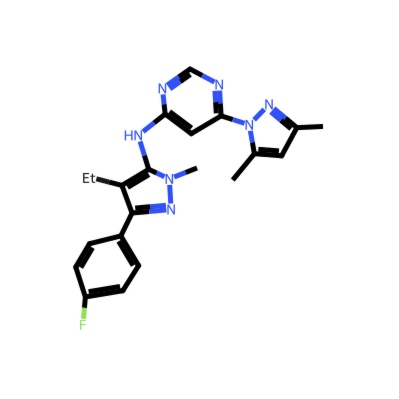 CCc1c(-c2ccc(F)cc2)nn(C)c1Nc1cc(-n2nc(C)cc2C)ncn1